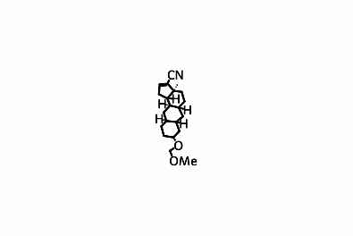 COCO[C@H]1CC[C@H]2C[C@@H]3[C@H](CC[C@]4(C)C(C#N)=CC[C@@H]34)C[C@@H]2C1